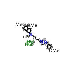 CCCN(CCCCCCN1CCN(Cc2ccc(OC)cc2)CC1)C1CCC2C(=CCC(OC)[C@H]2OC)C1.Cl.Cl.Cl